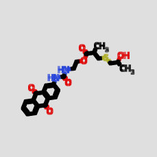 CC(O)CSCC(C)C(=O)OCCNC(=O)Nc1ccc2c(c1)C(=O)c1ccccc1C2=O